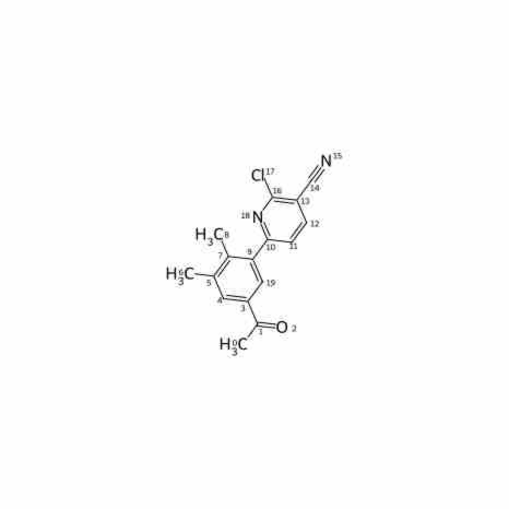 CC(=O)c1cc(C)c(C)c(-c2ccc(C#N)c(Cl)n2)c1